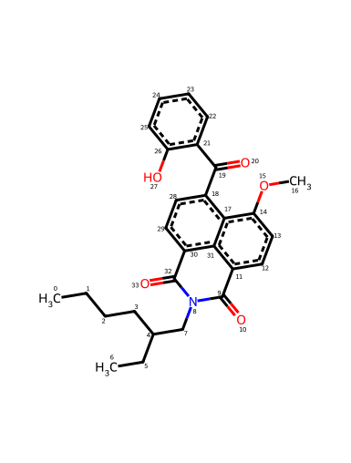 CCCCC(CC)CN1C(=O)c2ccc(OC)c3c(C(=O)c4ccccc4O)ccc(c23)C1=O